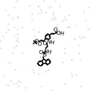 CC(C)(C)OC(=O)C=Cc1ccc(C=CC(=O)O)cc1NC(=O)CCNC(=O)OCC1c2ccccc2-c2ccccc21